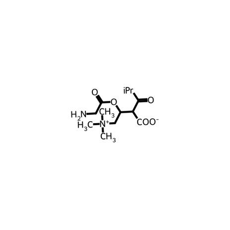 CC(C)C(=O)C(C(=O)[O-])C(C[N+](C)(C)C)OC(=O)CN